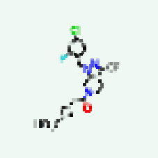 O=C(O)C1CC(CC(=O)N2CCc3c(C(F)(F)F)nn(Cc4ccc(Cl)cc4F)c3C2)C1